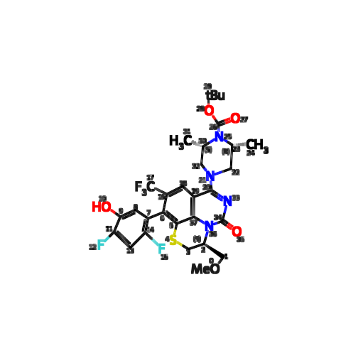 COC[C@H]1CSc2c(-c3cc(O)c(F)cc3F)c(C(F)(F)F)cc3c(N4C[C@@H](C)N(C(=O)OC(C)(C)C)[C@@H](C)C4)nc(=O)n1c23